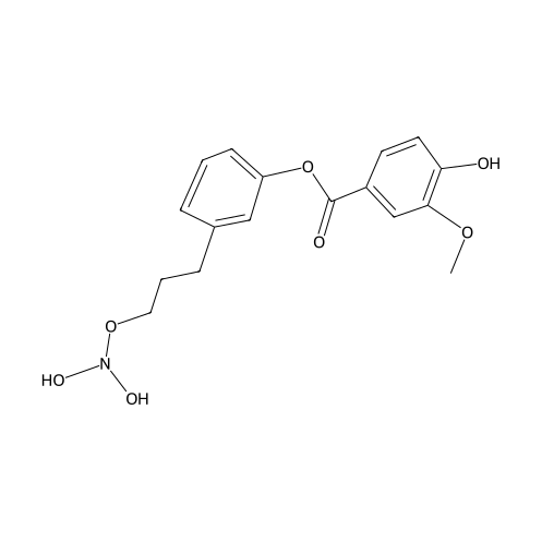 COc1cc(C(=O)Oc2cccc(CCCON(O)O)c2)ccc1O